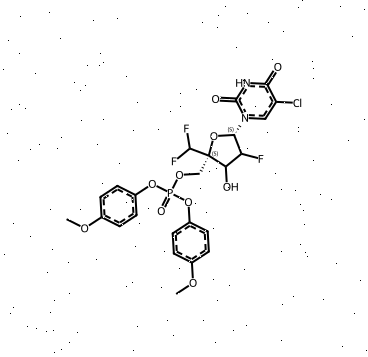 COc1ccc(OP(=O)(OC[C@]2(C(F)F)O[C@H](n3cc(Cl)c(=O)[nH]c3=O)C(F)C2O)Oc2ccc(OC)cc2)cc1